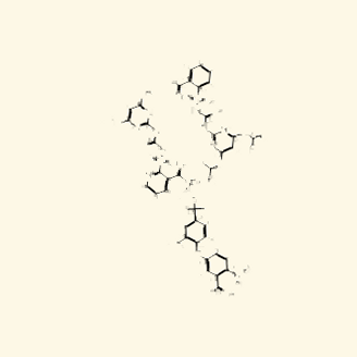 COc1cc(OC)nc(NC(=O)NS(=O)(=O)c2ncccc2C(=O)N(C)C)n1.O=C(Nc1nc(OC(F)F)cc(OC(F)F)n1)NS(=O)(=O)c1ccccc1C(=O)O.O=C(O)c1cc(Oc2ccc(C(F)(F)F)cc2Cl)ccc1[N+](=O)[O-]